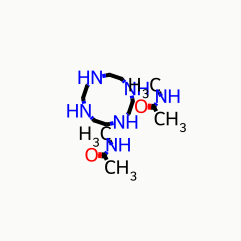 C1CNCCNCCNCCN1.CNC(C)=O.CNC(C)=O